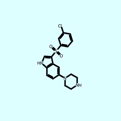 O=S(=O)(c1cccc(Cl)c1)c1c[nH]c2ccc(N3CCNCC3)cc12